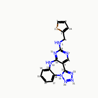 c1csc(CNc2ncc3c(n2)Nc2ccccc2-n2nnnc2-3)c1